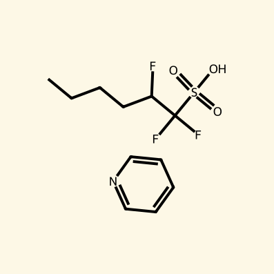 CCCCC(F)C(F)(F)S(=O)(=O)O.c1ccncc1